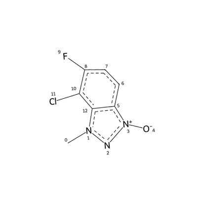 Cn1n[n+]([O-])c2ccc(F)c(Cl)c21